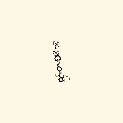 Cc1ncccc1C(=O)NC1CCC(CCN2CCc3nc(OCCC(F)(F)F)sc3CC2)CC1